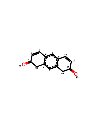 O=C1C=Cc2cc3c(cc2C1)CC(=O)C=C3